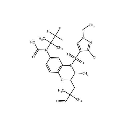 CCn1cc(S(=O)(=O)N2c3cc(N(C(=O)O)C(C)(C)C(F)(F)F)ccc3OC(CC(C)(C)C=O)C2C)c(Cl)n1